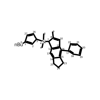 CCCCC1=CC([Si](C)(C)C2C(C)=Cc3c2cc2c(c3-c3ccccc3)CCC2)C=C1